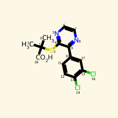 CC(C)(Sc1nccnc1-c1ccc(Cl)c(Cl)c1)C(=O)O